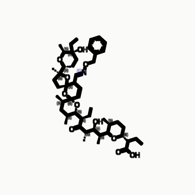 CCC(C(=O)O)[C@H]1CC[C@H](C)C([C@@H](C)[C@H](O)[C@H](C)C(=O)[C@H](CC)[C@H]2O[C@]3(C=CC(/C=N/OCc4ccccc4)[C@]4(CC[C@@](C)([C@H]5CC[C@](O)(CC)[C@H](C)O5)O4)O3)[C@H](C)C[C@@H]2C)O1